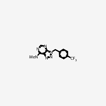 CNc1ncnc2c1nnn2Cc1ccc(C(F)(F)F)cc1